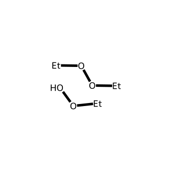 CCOO.CCOOCC